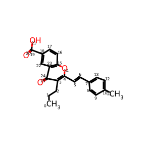 CCCc1c(/C=C/c2ccc(C)cc2)oc2ccc(C(=O)O)cc2c1=O